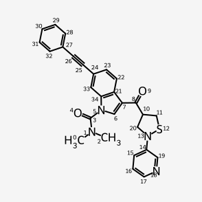 CN(C)C(=O)n1cc(C(=O)C2CSN(c3cccnc3)C2)c2ccc(C#Cc3ccccc3)cc21